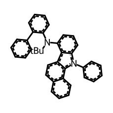 CC(C)(C)N(c1ccccc1-c1ccccc1)c1cccc2c1c1ccc3ccccc3c1n2-c1ccccc1